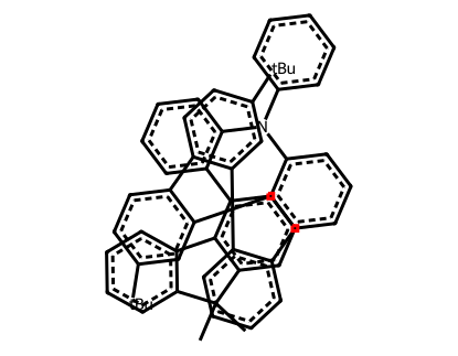 CC(C)(C)c1ccc2c(c1)C1(c3cc(C(C)(C)C)ccc3-2)c2ccccc2-c2cccc(N(c3ccccc3)c3ccccc3-c3cccc4c3-c3ccccc3C4(C)C)c21